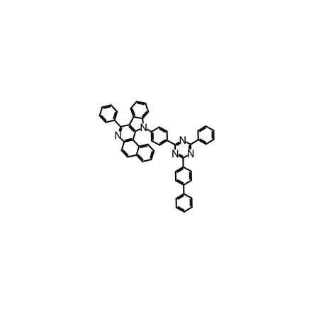 c1ccc(-c2ccc(-c3nc(-c4ccccc4)nc(-c4ccc(-n5c6ccccc6c6c(-c7ccccc7)nc7ccc8ccccc8c7c65)cc4)n3)cc2)cc1